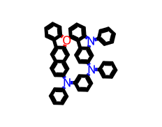 c1ccc(N(c2cccc(N(c3ccccc3)c3ccc4c5ccccc5n(-c5ccccc5)c4c3)c2)c2ccc3cc4c(cc3c2)oc2ccccc24)cc1